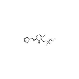 CCOP(C)(=O)CCC(NC(=O)OCc1ccccc1)C(=O)OC